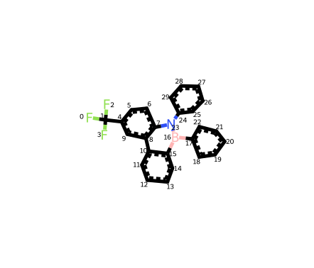 FC(F)(F)c1ccc2c(c1)-c1ccccc1B(c1ccccc1)N2c1ccccc1